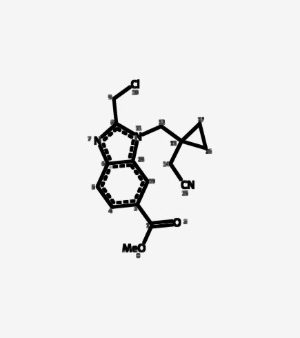 COC(=O)c1ccc2nc(CCl)n(CC3(CC#N)CC3)c2c1